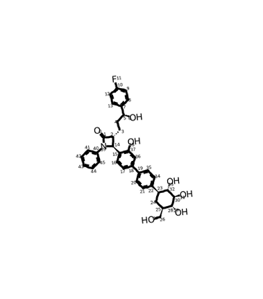 O=C1[C@H](CC[C@H](O)c2ccc(F)cc2)[C@@H](c2ccc(-c3ccc([C@@H]4C[C@H](CO)[C@@H](O)[C@H](O)[C@H]4O)cc3)cc2O)N1c1ccccc1